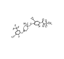 CC1(COc2cc(F)c(C(=O)NS(C)(=O)=O)cc2C2CC2)CCN(Cc2cc(C(F)(F)F)cc(Cl)c2F)CC1